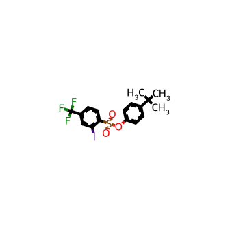 CC(C)(C)c1ccc(OS(=O)(=O)c2ccc(C(F)(F)F)cc2I)cc1